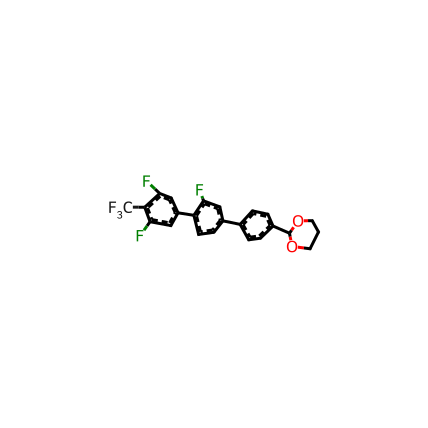 Fc1cc(-c2ccc(C3OCCCO3)cc2)ccc1-c1cc(F)c(C(F)(F)F)c(F)c1